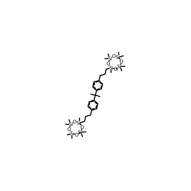 CC(C)(c1ccc(CCC[Si]2(C)O[Si](C)(C)O[Si](C)(C)O[Si](C)(C)O2)cc1)c1ccc(CCC[Si]2(C)O[Si](C)(C)O[Si](C)(C)O[Si](C)(C)O2)cc1